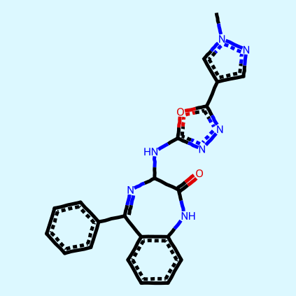 Cn1cc(-c2nnc(NC3N=C(c4ccccc4)c4ccccc4NC3=O)o2)cn1